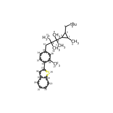 CC1C(CC(C)(C)C)C1C(C)(C)C(C)(C)Cc1ccc(-c2cc3ccccc3s2)c(C(F)(F)F)c1